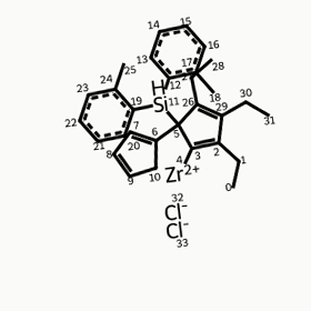 CCC1=[C]([Zr+2])C(C2=CC=CC2)([SiH](c2ccccc2C)c2ccccc2C)C(CC)=C1CC.[Cl-].[Cl-]